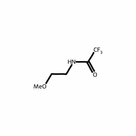 COCCNC(=O)C(F)(F)F